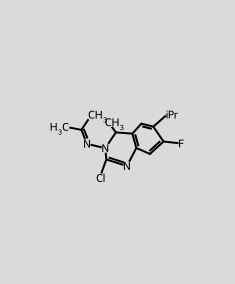 CC(C)=NN1C(Cl)=Nc2cc(F)c(C(C)C)cc2C1C